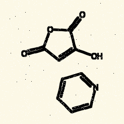 O=C1C=C(O)C(=O)O1.c1ccncc1